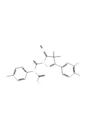 CCOC(=O)C1(C)C(=C=O)N(C(=O)N(C(=O)OC)c2ccc(Br)cc2)N=C1c1ccc(C(F)(F)F)c(Cl)c1